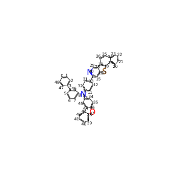 c1ccc(-c2cccc(N(c3ccc(-c4cc5sc6c7ccccc7ccc6c5cn4)cc3)c3ccc4oc5ccccc5c4c3)c2)cc1